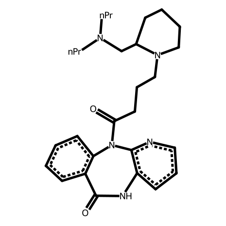 CCCN(CCC)CC1CCCCN1CCCC(=O)N1c2ccccc2C(=O)Nc2cccnc21